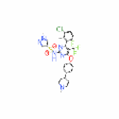 Cc1c(Cl)cccc1-c1nc(NS(=O)(=O)c2cnn(C)c2)nc(Oc2ccc(C3CCN(C)CC3)cc2)c1C(F)(F)F